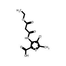 CCOC(=O)CC(=O)Nc1c(C(=O)O)sc(C)c1Cl